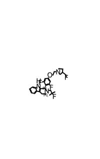 C[C@@H]1Cc2c([nH]c3ccccc23)[C@@H](c2c(F)cc(OCCN3CCC(CF)C3)cc2F)N1CC(C)(C)F